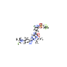 CC(C)n1c(=O)c(-c2ccc(NS(=O)(=O)CCC(F)(F)F)c(F)c2)nc2cnc(N[C@H]3CC[C@H](N(C)CCF)CC3)nc21